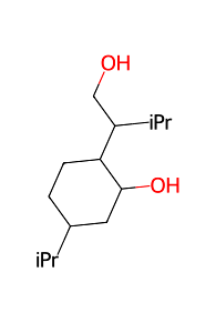 CC(C)C1CCC(C(CO)C(C)C)C(O)C1